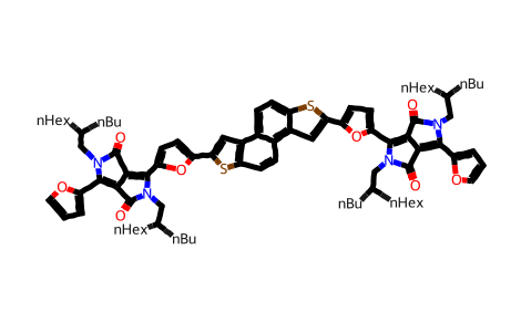 CCCCCCC(CCCC)CN1C(=O)C2=C(c3ccc(-c4cc5c(ccc6c7cc(-c8ccc(C9=C%10C(=O)N(CC(CCCC)CCCCCC)C(c%11ccco%11)=C%10C(=O)N9CC(CCCC)CCCCCC)o8)sc7ccc56)s4)o3)N(CC(CCCC)CCCCCC)C(=O)C2=C1c1ccco1